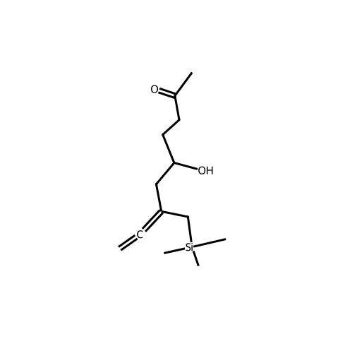 C=C=C(CC(O)CCC(C)=O)C[Si](C)(C)C